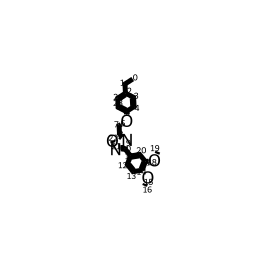 CCc1ccc(OCc2nc(-c3ccc(OC)c(OC)c3)no2)cc1